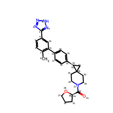 Cc1ccc(-c2nn[nH]n2)cc1-c1ccc([C@H]2CC23CCN(C(=O)[C@H]2CCCO2)CC3)cc1